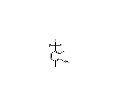 Cc1ccc(C(F)(F)F)c(C)c1N